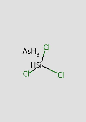 Cl[SiH](Cl)Cl.[AsH3]